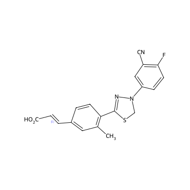 Cc1cc(/C=C/C(=O)O)ccc1C1=NN(c2ccc(F)c(C#N)c2)CS1